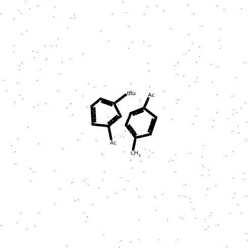 CC(=O)c1ccc(C)cc1.CC(=O)c1cccc(C(C)(C)C)c1